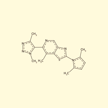 Cc1nnn(C)c1-c1ncc2nc(-n3c(C)ccc3C)sc2c1C